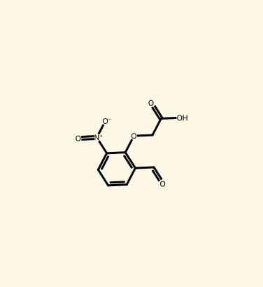 O=Cc1cccc([N+](=O)[O-])c1OCC(=O)O